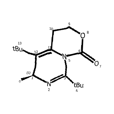 C[C@@H]1N=C(C(C)(C)C)N2C(=O)OCCC2=C1C(C)(C)C